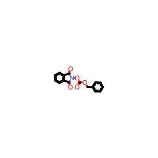 O=C(OCc1ccccc1)ON1C(=O)c2ccccc2C1=O